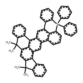 CC1(C)c2ccccc2-c2c1cc1c3c(c4cc5c6c(cccc6c4cc23)S(c2ccccc2)(c2ccccc2)c2ccccc2-5)-c2ccccc2C1(C)C